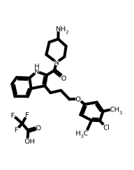 Cc1cc(OCCCc2c(C(=O)N3CCC(N)CC3)[nH]c3ccccc23)cc(C)c1Cl.O=C(O)C(F)(F)F